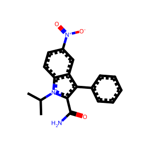 CC(C)n1c(C(N)=O)c(-c2ccccc2)c2cc([N+](=O)[O-])ccc21